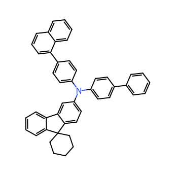 c1ccc(-c2ccc(N(c3ccc(-c4cccc5ccccc45)cc3)c3ccc4c(c3)-c3ccccc3C43CCCCC3)cc2)cc1